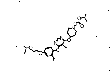 Cc1c(Oc2ccc(OCCOC(C)C)cc2F)ncnc1OC1CCN(OC(=O)OC(C)C)CC1